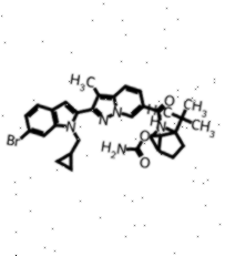 Cc1c(-c2cc3ccc(Br)cc3n2CC2CC2)nn2cc(C(=O)N3CC4CCC3(C(C)(C)C)[C@@H]4OC(N)=O)ccc12